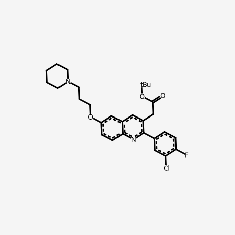 CC(C)(C)OC(=O)Cc1cc2cc(OCCCN3CCCCC3)ccc2nc1-c1ccc(F)c(Cl)c1